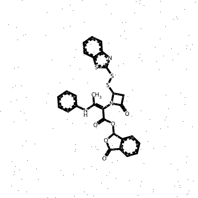 C/C(Nc1ccccc1)=C(/C(=O)OC1OC(=O)c2ccccc21)N1C(=O)CC1SSc1nc2ccccc2s1